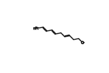 CCCC=CC=CCC=CCC[O]